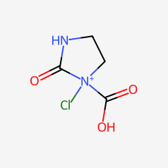 O=C(O)[N+]1(Cl)CCNC1=O